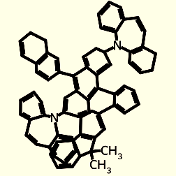 CC1(C)C2=C(CCC(c3ccccc3-c3c4c(c(-c5ccc6c(c5)CCC=C6)c5cc(N6c7ccccc7C=Cc7ccccc76)ccc35)=CCC(N3C5=C(C=Cc6ccccc63)CCC=C5)C=4)=C2)C2C=CC=CC21